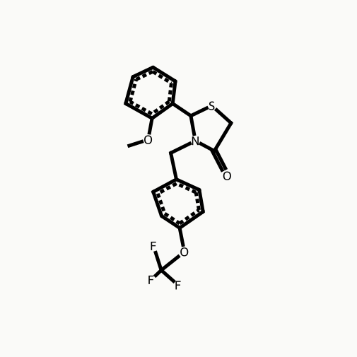 COc1ccccc1C1SCC(=O)N1Cc1ccc(OC(F)(F)F)cc1